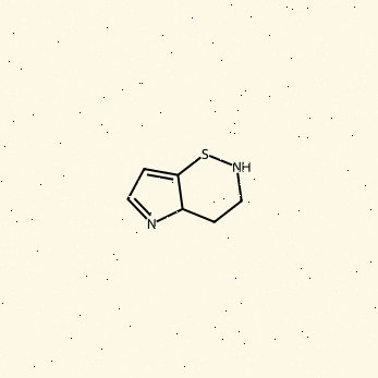 C1=NC2CCNSC2=C1